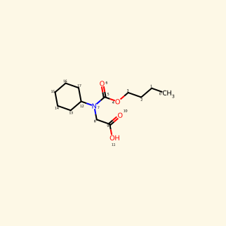 CCCCOC(=O)N(CC(=O)O)C1CCCCC1